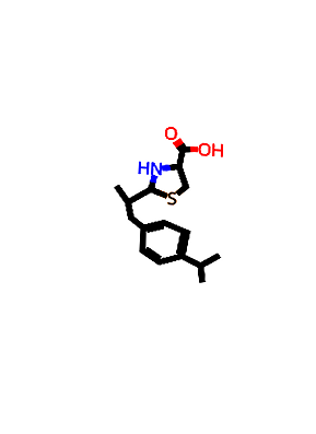 CC(C)c1ccc(CC(C)C2NC(C(=O)O)CS2)cc1